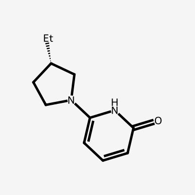 CC[C@H]1CCN(c2cccc(=O)[nH]2)C1